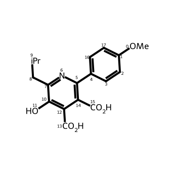 COc1ccc(-c2nc(CC(C)C)c(O)c(C(=O)O)c2C(=O)O)cc1